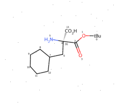 CC(C)(C)OC(=O)[C@](N)(CC1CCCCC1)C(=O)O